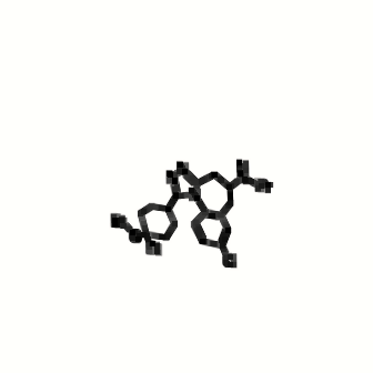 CCOC1(CC)CCC(c2nnc3n2-c2ccc(Cl)cc2CC(NC(C)C)C3)CC1